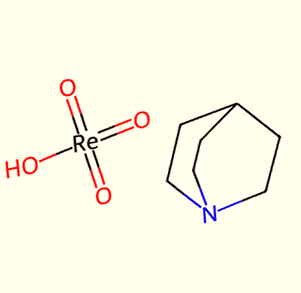 C1CN2CCC1CC2.[O]=[Re](=[O])(=[O])[OH]